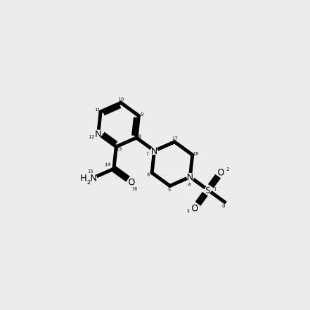 CS(=O)(=O)N1CCN(c2cccnc2C(N)=O)CC1